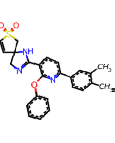 Cc1ccc(-c2ccc(C3=NCC4(C=CS(=O)(=O)C4)N3)c(Oc3ccccc3)n2)cc1C